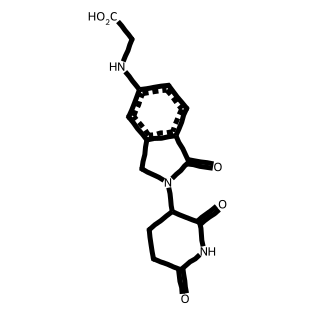 O=C(O)CNc1ccc2c(c1)CN(C1CCC(=O)NC1=O)C2=O